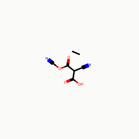 CC.N#COC(=O)C(C#N)C(=O)O